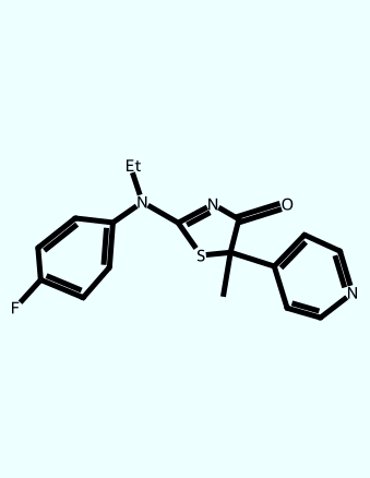 CCN(C1=NC(=O)C(C)(c2ccncc2)S1)c1ccc(F)cc1